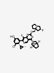 C[C@@H]1C[C@@H]1c1c(Cl)cc(O)cc1-c1ncc2c(N3C[C@H]4CC[C@@H](C3)N4)nc(OC[C@@]34CCCN3C[C@H](F)C4)nc2c1F